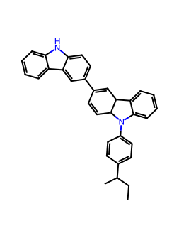 CCC(C)c1ccc(N2c3ccccc3C3C=C(c4ccc5[nH]c6ccccc6c5c4)C=CC32)cc1